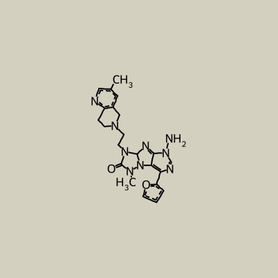 Cc1cnc2c(c1)CN(CCN1C(=O)N(C)N3C4=C(c5ccco5)N=CN(N)C4=NC13)CC2